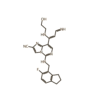 N#Cc1cn2c(NCc3c(F)ccc4c3CCC4)ncc(/C(=C/C=N)NCCO)c2n1